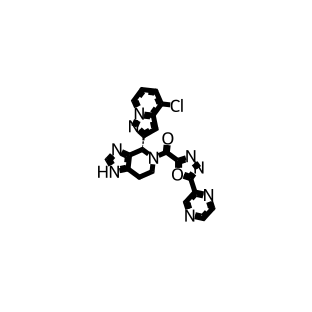 O=C(c1nnc(-c2cnccn2)o1)N1CCc2[nH]cnc2[C@@H]1c1cc2c(Cl)cccn2n1